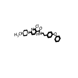 CN1CCN(c2ccc(C(=O)NCCc3ccc(Oc4ccccc4)cc3)c(Cl)n2)CC1